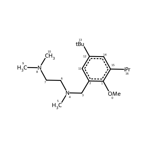 COc1c(CN(C)CCN(C)C)cc(C(C)(C)C)cc1C(C)C